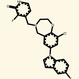 O=c1[nH]ccc(CN2CCOc3c(Cl)cc(-n4ccc5cc(F)ccc54)cc3C2)c1F